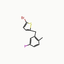 Cc1ccc(I)cc1Cc1ccc(Br)s1